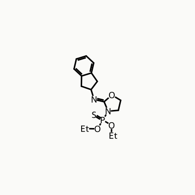 CCOP(=S)(OCC)N1CCO/C1=N\C1Cc2ccccc2C1